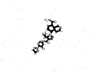 NC(=O)c1ccc(-n2ncc(C(=O)Nc3cnc(-n4nccn4)c(Cl)c3)c2C(F)(F)F)c2ccncc12